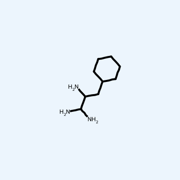 NC(N)C(N)CC1CCCCC1